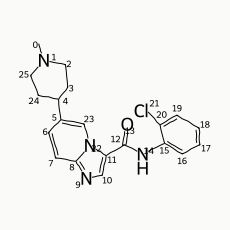 CN1CCC(c2ccc3ncc(C(=O)Nc4ccccc4Cl)n3c2)CC1